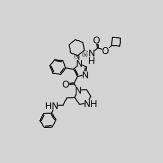 O=C(N[C@H]1CCCC[C@@H]1n1cnc(C(=O)N2CCNCC2CCNc2ccccc2)c1-c1ccccc1)OC1CCC1